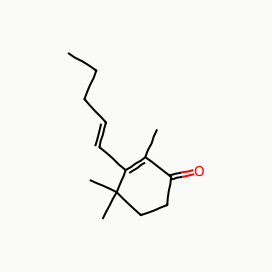 CCCC=CC1=C(C)C(=O)CCC1(C)C